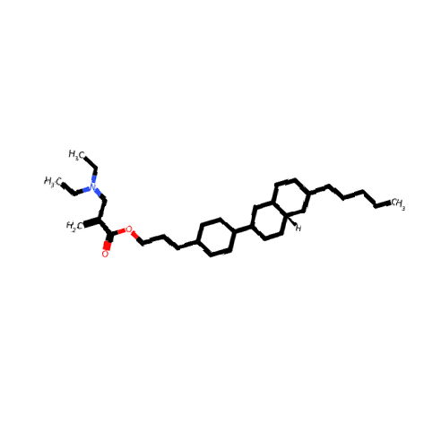 C=C(CN(CC)CC)C(=O)OCCCC1CCC(C2CC[C@H]3CC(CCCCC)CCC3C2)CC1